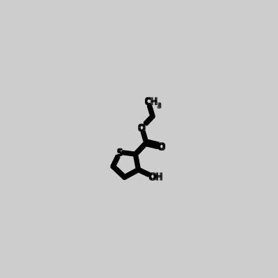 CCOC(=O)C1SCCC1O